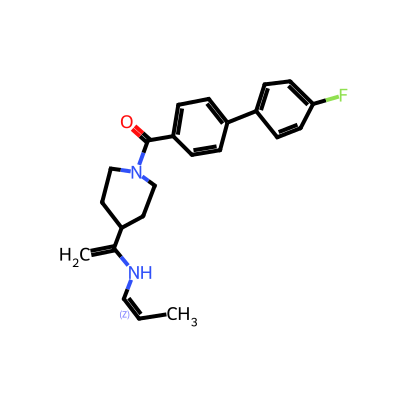 C=C(N/C=C\C)C1CCN(C(=O)c2ccc(-c3ccc(F)cc3)cc2)CC1